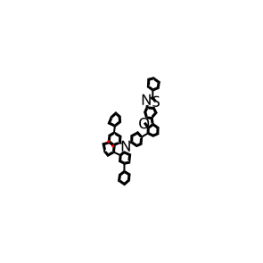 c1ccc(-c2cccc(N(c3ccc(-c4cccc5c4oc4cc6nc(-c7ccccc7)sc6cc45)cc3)c3ccc(-c4ccccc4)cc3-c3ccccc3)c2)cc1